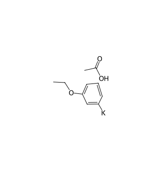 CC(=O)O.CCOc1ccc[c]([K])c1